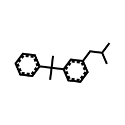 CC(C)Cc1cccc(C(C)(C)c2ccccc2)c1